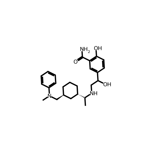 CC(NCC(O)c1ccc(O)c(C(N)=O)c1)[C@H]1CCC[C@H](CN(C)c2ccccc2)C1